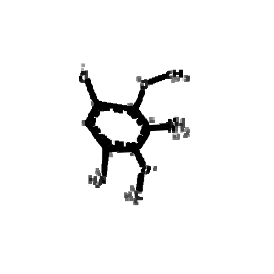 COc1c(N)cc(Cl)c(OC)c1N